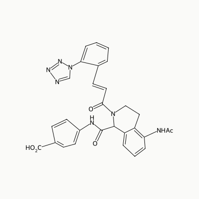 CC(=O)Nc1cccc2c1CCN(C(=O)/C=C/c1ccccc1-n1cnnn1)C2C(=O)Nc1ccc(C(=O)O)cc1